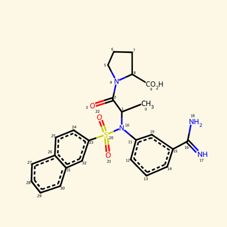 CC(C(=O)N1CCCC1C(=O)O)N(c1cccc(C(=N)N)c1)S(=O)(=O)c1ccc2ccccc2c1